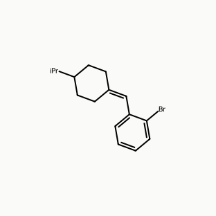 CC(C)C1CCC(=Cc2ccccc2Br)CC1